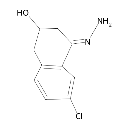 NN=C1CC(O)Cc2ccc(Cl)cc21